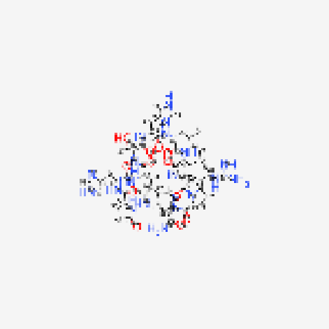 CC(C)C[C@H](NC(=O)[C@@H](CC(C)C)NC(=O)[C@H](Cc1c[nH]cn1)NC(=O)[C@H](CO)NC(=O)[C@H](Cc1c[nH]c2ccccc12)NC(=O)[C@H](Cc1c[nH]cn1)NC(=O)[C@@H]1CCC(=O)N1)C(=O)N[C@@H](CCCNC(=N)N)C(=O)N1CCC[C@H]1C(=O)NCC(N)=O